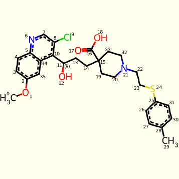 COc1ccc2ncc(Cl)c([C@H](O)CCC3(C(=O)O)CCN(CCSc4ccc(C)cc4)CC3)c2c1